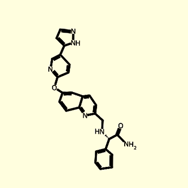 NC(=O)[C@@H](NCc1ccc2cc(Oc3ccc(-c4ccn[nH]4)cn3)ccc2n1)c1ccccc1